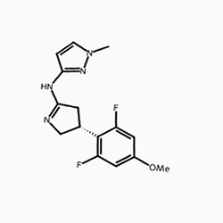 COc1cc(F)c([C@@H]2CN=C(Nc3ccn(C)n3)C2)c(F)c1